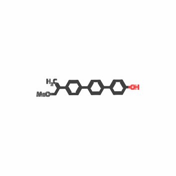 C=C(COC)c1ccc(-c2ccc(-c3ccc(O)cc3)cc2)cc1